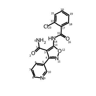 NC(=O)c1c(-c2cccnc2)noc1NC(=O)c1ccccc1Cl